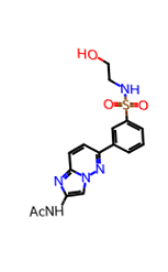 CC(=O)Nc1cn2nc(-c3cccc(S(=O)(=O)NCCO)c3)ccc2n1